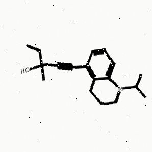 CCC(C)(O)C#Cc1cccc2c1CCCN2C(C)C